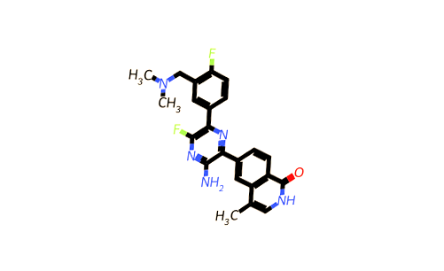 Cc1c[nH]c(=O)c2ccc(-c3nc(-c4ccc(F)c(CN(C)C)c4)c(F)nc3N)cc12